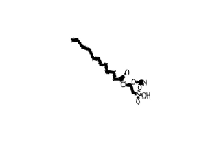 CCCCCCCCCCCC(=O)OC(CS(=O)(=O)O)OC#N